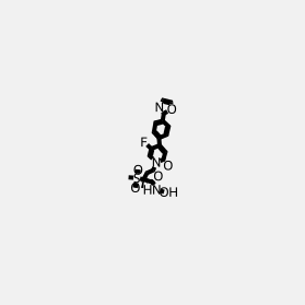 C[C@@](CCn1cc(F)c(-c2ccc(-c3ncco3)cc2)cc1=O)(C(=O)NO)S(C)(=O)=O